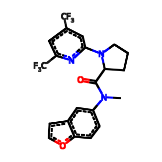 CN(C(=O)C1CCCN1c1cc(C(F)(F)F)cc(C(F)(F)F)n1)c1ccc2occc2c1